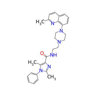 Cc1ccc2cccc(N3CCN(CCNC(=O)c4nc(C)n(-c5ccccc5)c4C)CC3)c2n1